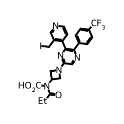 CCC(=O)N(C(=O)O)C1CN(c2cnc(-c3ccc(C(F)(F)F)cc3)c(-c3ccncc3CI)n2)C1